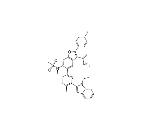 C=C(N)c1c(-c2ccc(F)cc2)oc2cc(N(C)S(C)(=O)=O)c(-c3ccc(C)c(-c4cc5ccccc5n4CC)n3)cc12